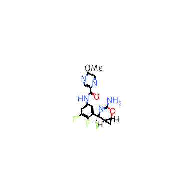 COc1cnc(C(=O)Nc2cc(F)c(F)c([C@@]3(CF)N=C(N)O[C@@H]4C[C@@H]43)c2)cn1